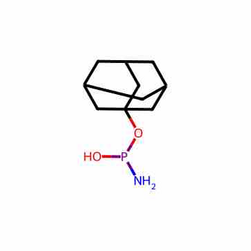 NP(O)OC12CC3CC(CC(C3)C1)C2